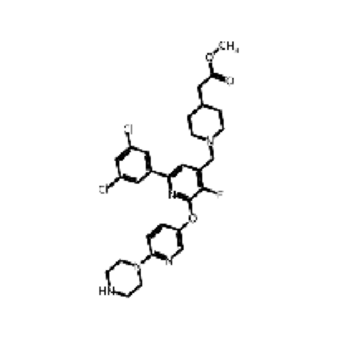 COC(=O)CC1CCN(Cc2cc(-c3cc(Cl)cc(Cl)c3)nc(Oc3ccc(N4CCNCC4)nc3)c2F)CC1